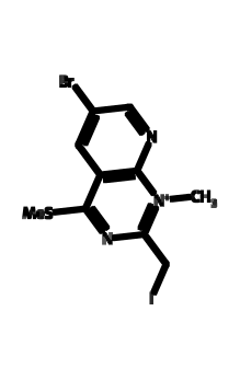 CSc1nc(CI)[n+](C)c2ncc(Br)cc12